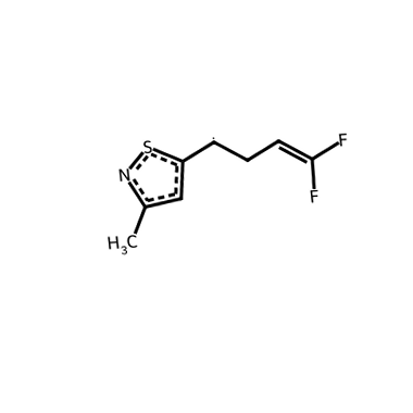 Cc1cc([CH]CC=C(F)F)sn1